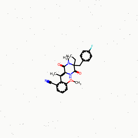 CCC1(Cc2ccc(F)cc2)C(=O)NC(=C(C)c2c(C#N)cccc2OC)C(=O)N1C